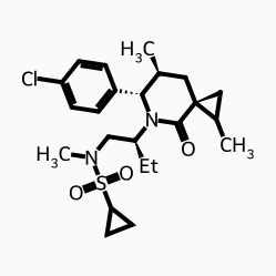 CC[C@@H](CN(C)S(=O)(=O)C1CC1)N1C(=O)[C@]2(CC2C)C[C@H](C)[C@H]1c1ccc(Cl)cc1